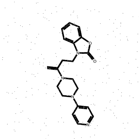 C=C(CCn1c(=O)oc2ccccc21)N1CCN(c2ccncc2)CC1